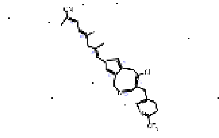 C/C=C1/C/C(Cl)=C(CC2=CN=C(C(F)(F)F)CC2)\C=N/C/C1=C/C/C=C(\C)C/C(C)=C/C=C(\C)C#N